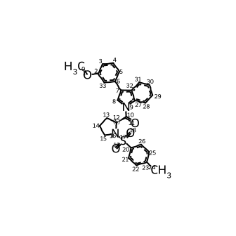 COc1cccc(-c2cn(C(=O)[C@@H]3CCCN3S(=O)(=O)c3ccc(C)cc3)c3ccccc23)c1